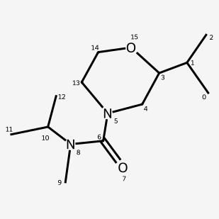 CC(C)C1CN(C(=O)N(C)C(C)C)CCO1